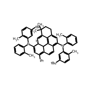 Cc1ccccc1N(C1=CC(C(C)C)=C2C=Cc3c(N(c4ccccc4C)c4cc(C(C)(C)C)ccc4C)cc4c5c3C2[C@H]1C=C5C(C)(C)CC4)c1cc(C(C)(C)C)ccc1C